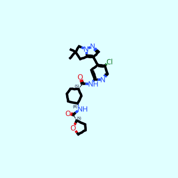 CC1(C)Cc2c(-c3cc(NC(=O)[C@H]4CCC[C@@H](NC(=O)[C@@H]5CCCO5)C4)ncc3Cl)cnn2C1